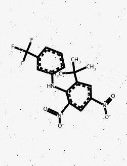 CC(C)(C)c1cc([N+](=O)[O-])cc([N+](=O)[O-])c1Nc1cccc(C(F)(F)F)c1